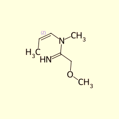 C/C=C\N(C)C(=N)COC